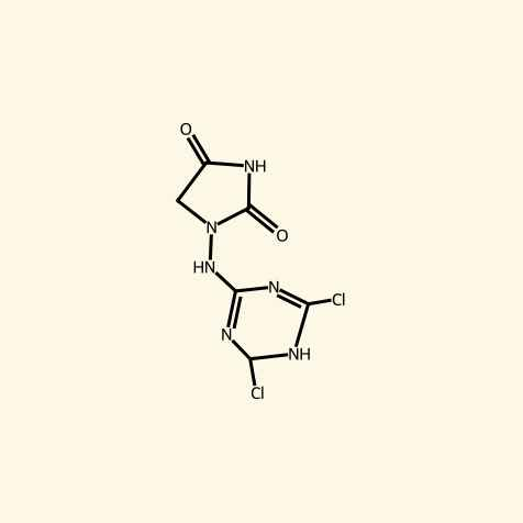 O=C1CN(NC2=NC(Cl)NC(Cl)=N2)C(=O)N1